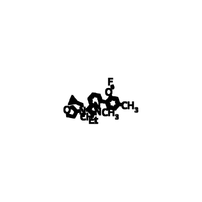 CCc1nn2c(-c3c(C)cc(C)cc3OCF)cccc2c1[N+](C)(CC1CC1)C1CCOC1